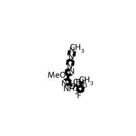 COc1cc(N2CCC(N3CCN(C)CC3)CC2)ncc1-c1cnc(N)c(OC(C)c2cc(F)ccc2C(C)(F)F)c1